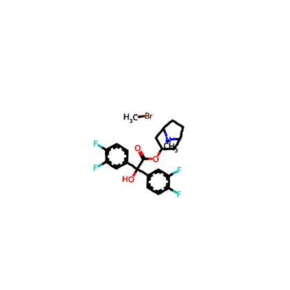 CBr.CN1C2CCC1CC(OC(=O)C(O)(c1ccc(F)c(F)c1)c1ccc(F)c(F)c1)C2